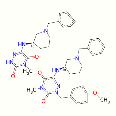 COc1ccc(Cn2nc(N[C@@H]3CCCN(Cc4ccccc4)C3)c(=O)n(C)c2=O)cc1.Cn1c(=O)[nH]nc(N[C@@H]2CCCN(Cc3ccccc3)C2)c1=O